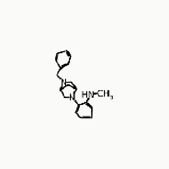 CNc1ccccc1N1CC2CC1CN2Cc1ccccc1